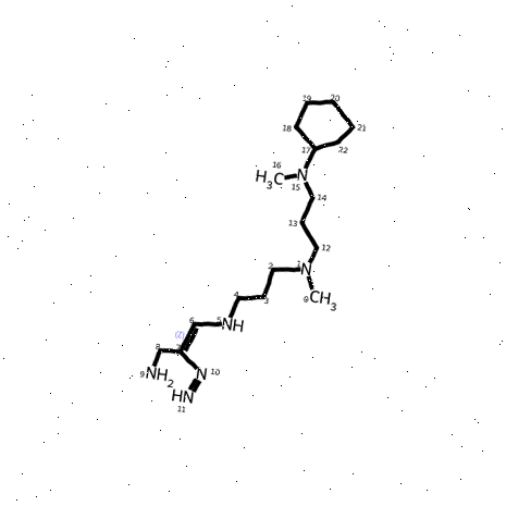 CN(CCCN/C=C(/CN)N=N)CCCN(C)C1CCCCC1